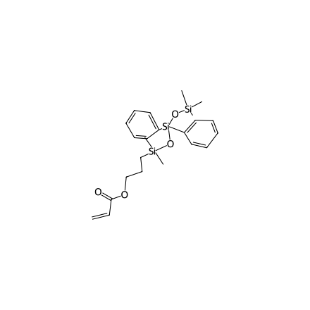 C=CC(=O)OCCC[Si](C)(C)O[Si](O[Si](C)(C)C)(c1ccccc1)c1ccccc1